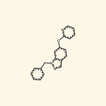 c1ccc(Cn2ncc3ccc(Oc4ccccn4)cc32)cc1